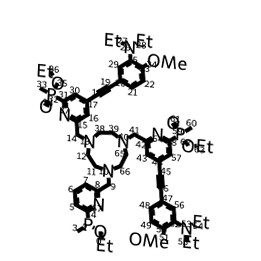 CCOP(C)c1cccc(CN2CCN(Cc3cc(C#Cc4ccc(OC)c(N(CC)CC)c4)cc(P(C)(=O)OCC)n3)CCN(Cc3cc(C#Cc4ccc(OC)c(N(CC)CC)c4)cc(P(C)(=O)OCC)n3)CC2)n1